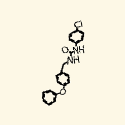 O=C(NCc1ccc(Oc2ccccc2)cc1)Nc1ccc(Cl)cc1